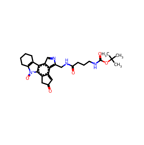 CC(C)(C)OC(=O)NCCCC(=O)NCC1=c2c(c3c(c4c2=CC(=O)C4)[N+](=O)C2=C3CCCC2)C=N1